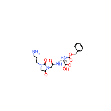 NCCCN1CC(=O)N(CC(=O)NC[C@H](NC(=O)OCc2ccccc2)C(=O)O)C1=O